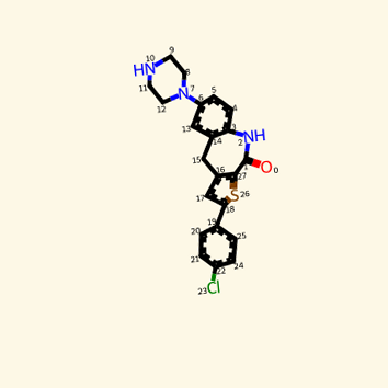 O=C1Nc2ccc(N3CCNCC3)cc2Cc2cc(-c3ccc(Cl)cc3)sc21